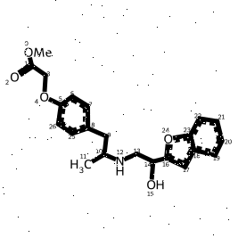 COC(=O)COc1ccc(CC(C)NCC(O)c2cc3ccccc3o2)cc1